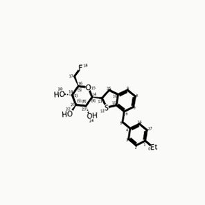 CCc1ccc(Cc2cccc3c2SC([C@@H]2O[C@H](CF)[C@@H](O)[C@H](O)[C@H]2O)C3)cc1